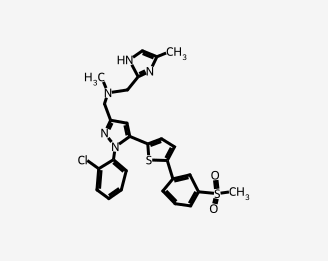 Cc1c[nH]c(CN(C)Cc2cc(-c3ccc(-c4cccc(S(C)(=O)=O)c4)s3)n(-c3ccccc3Cl)n2)n1